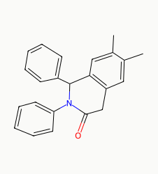 Cc1cc2c(cc1C)C(c1ccccc1)N(c1ccccc1)C(=O)C2